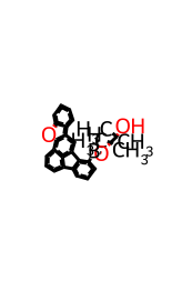 CC(C)(O)C(C)(C)OBc1cccc2c1-c1cc3c4ccccc4oc3c3cccc-2c13